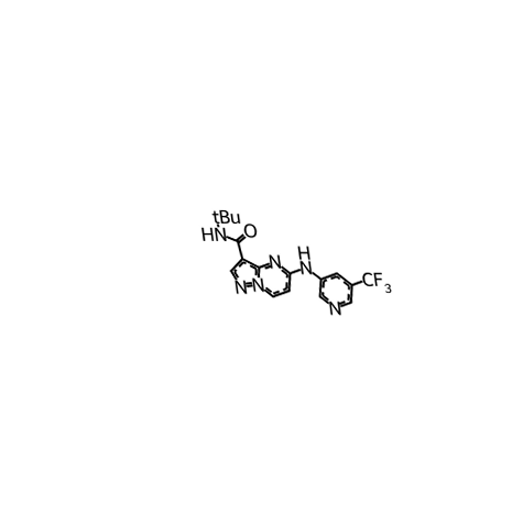 CC(C)(C)NC(=O)c1cnn2ccc(Nc3cncc(C(F)(F)F)c3)nc12